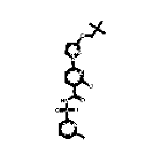 CC(C)(C)COc1ccn(-c2ccc(C(=O)NS(=O)(=O)c3cccc(F)n3)c(Cl)n2)n1